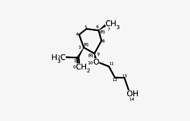 C=C(C)[C@H]1CC[C@@H](C)C[C@H]1OCCCO